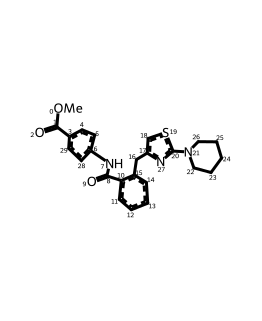 COC(=O)c1ccc(NC(=O)c2ccccc2Cc2csc(N3CCCCC3)n2)cc1